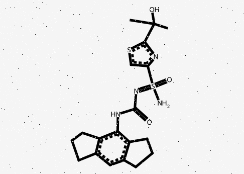 CC(C)(O)c1nc(S(N)(=O)=NC(=O)Nc2c3c(cc4c2CCC4)CCC3)cs1